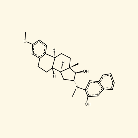 COc1ccc2c(c1)CC[C@@H]1[C@@H]2CC[C@]2(C)[C@@H](O)[C@H](N(C)c3cc4ccccc4cc3O)C[C@@H]12